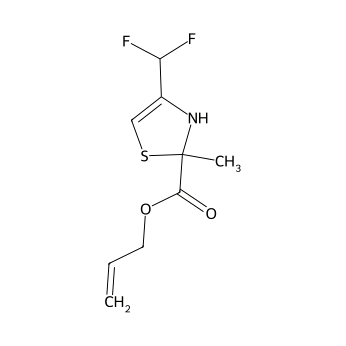 C=CCOC(=O)C1(C)NC(C(F)F)=CS1